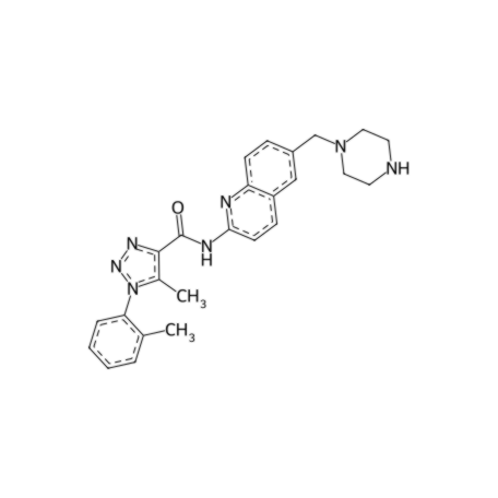 Cc1ccccc1-n1nnc(C(=O)Nc2ccc3cc(CN4CCNCC4)ccc3n2)c1C